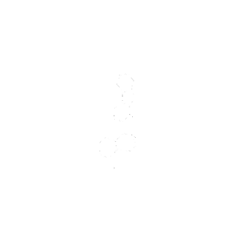 Brc1cccc2c(-c3ccc4c(n3)oc3ccccc34)nccc12